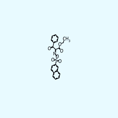 CCOC(=O)C(=NOS(=O)(=O)c1ccc2ccccc2c1)C(=O)c1ccccc1